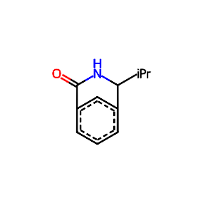 CC(C)C1NC(=O)c2cccc1c2